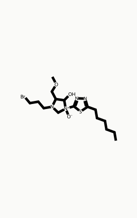 CCCCCCc1nnc([N+]2([O-])CN(CCCBr)C(COC)C2O)s1